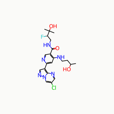 CC(O)CCNc1cc(-c2cnn3cc(Cl)cnc23)ncc1C(=O)NC[C@@H](F)C(C)(C)O